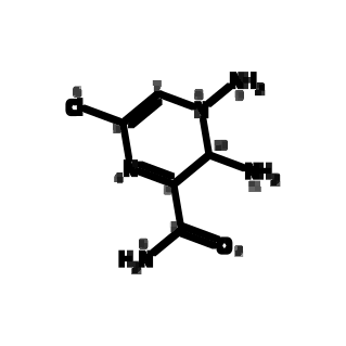 NC(=O)C1=NC(Cl)=CN(N)C1N